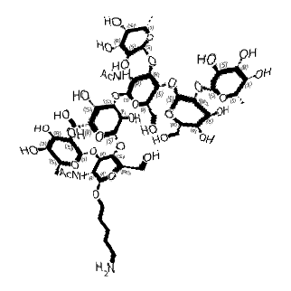 CC(=O)N[C@H]1[C@H](OCCCCCN)O[C@H](CO)[C@@H](O[C@@H]2O[C@H](CO)[C@H](O)[C@H](O[C@@H]3O[C@H](CO)[C@@H](O[C@@H]4O[C@H](CO)[C@H](O)[C@H](O)[C@H]4O[C@@H]4O[C@@H](C)[C@@H](O)[C@@H](O)[C@@H]4O)[C@H](O[C@@H]4O[C@@H](C)[C@@H](O)[C@@H](O)[C@@H]4O)[C@H]3NC(C)=O)[C@H]2O)[C@@H]1O[C@@H]1O[C@@H](C)[C@@H](O)[C@@H](O)[C@@H]1O